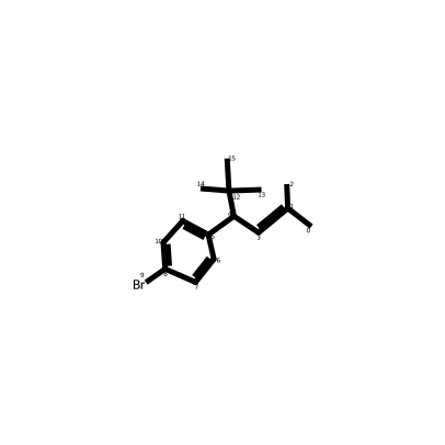 CC(C)=CC(c1ccc(Br)cc1)C(C)(C)C